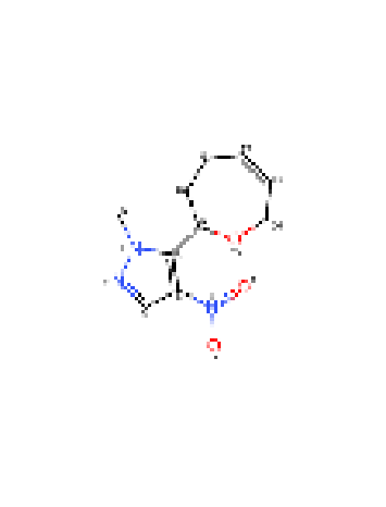 Cn1ncc([N+](=O)[O-])c1C1CCC=CCO1